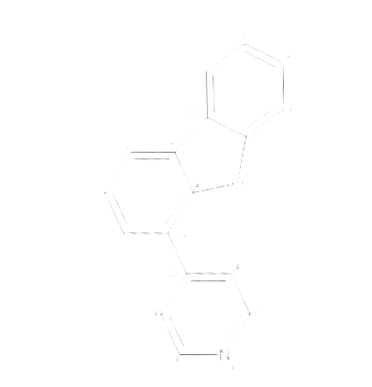 [c]1ccc2c(oc3ccccc32)c1-c1ccncc1